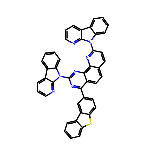 c1ccc2c(c1)sc1ccc(-c3nc(-n4c5ccccc5c5cccnc54)nc4c3ccc3ccc(-n5c6ccccc6c6cccnc65)nc34)cc12